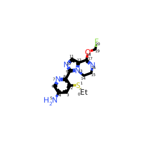 CCSc1cc(N)cnc1-c1ncc2n1CCN=C2OCF